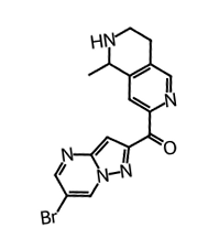 CC1NCCc2cnc(C(=O)c3cc4ncc(Br)cn4n3)cc21